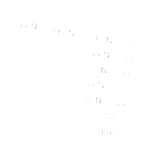 O=[N+]([O-])[O-].O=[N+]([O-])[O-].O=[N+]([O-])[O-].O=[N+]([O-])[O-].O=[N+]([O-])[O-].O=[N+]([O-])[O-].O=[N+]([O-])[O-].[Fe+3].[Ru+4]